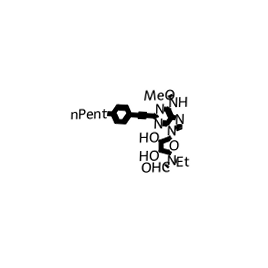 CCCCCc1ccc(C#Cc2nc(NOC)c3ncn([C@@H]4O[C@H](N(C=O)CC)[C@@H](O)[C@H]4O)c3n2)cc1